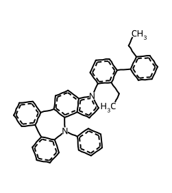 CCc1ccccc1-c1cccc(-n2ccc3c4c(ccc32)-c2ccccc2-c2ccccc2N4c2ccccc2)c1CC